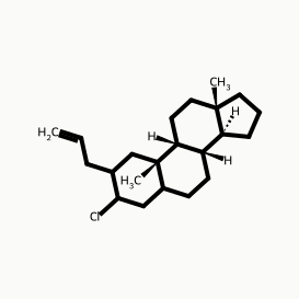 C=CCC1C[C@@]2(C)C(CC[C@@H]3[C@H]2CC[C@]2(C)CCC[C@@H]32)CC1Cl